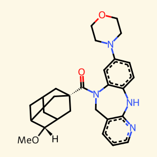 CO[C@H]1C2CC3CC1C[C@@](C(=O)N1Cc4cccnc4Nc4ccc(N5CCOCC5)cc41)(C3)C2